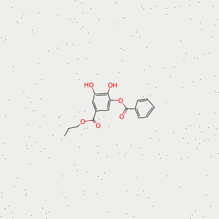 CCCOC(=O)c1cc(O)c(O)c(OC(=O)c2ccccc2)c1